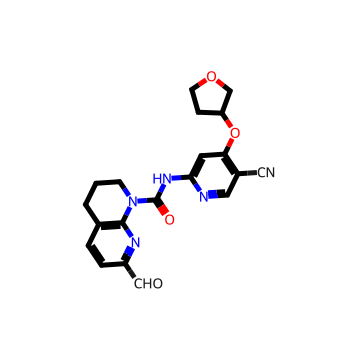 N#Cc1cnc(NC(=O)N2CCCc3ccc(C=O)nc32)cc1OC1CCOC1